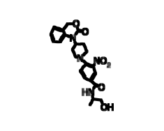 CC(CO)NC(=O)c1ccc(N2CCC(N3C(=O)OCc4ccccc43)CC2)c([N+](=O)[O-])c1